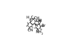 CC1(C)Oc2ccc(C#N)cc2C(n2cc(N)cc(Br)c2=O)C1O